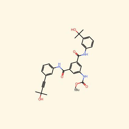 CC(C)(O)C#Cc1cccc(NC(=O)c2cc(NC(=O)OC(C)(C)C)cc(C(=O)Nc3cccc(C(C)(C)O)c3)c2)c1